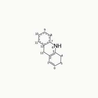 C1=CC2=C(CC1)Nc1ccccc1C2